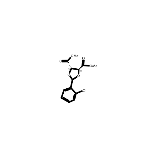 COC(=O)[C@H]1OC(c2ccccc2Cl)O[C@@H]1C(=O)OC